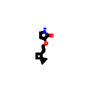 O=C1NCCC1OCCC1CCC12CC2